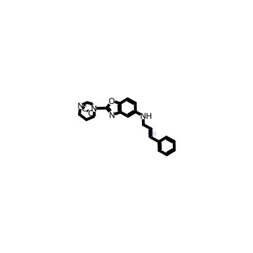 C(=C\c1ccccc1)/CNc1ccc2oc(N3CCN4CCC3CC4)nc2c1